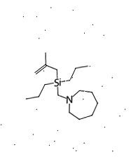 C=C(C)C[Si](CCC)(CCC)CN1CCCCCC1